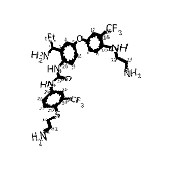 CCC(N)c1cc(Oc2ccc(NCCN)c(C(F)(F)F)c2)ccc1NC(=O)Nc1ccc(SCCN)c(C(F)(F)F)c1